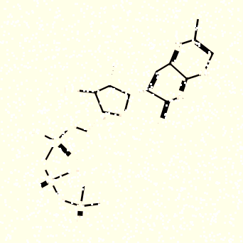 Cc1c[nH]c2nc(=O)c([C@@H]3O[C@H](COP(=O)(O)OP(=O)(O)OP(=O)(O)O)C(O)[C@@H]3O)cc-2n1